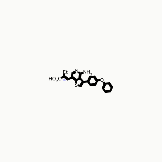 CC/C(=C\c1cnc(N)c2c(-c3ccc(Oc4ccccc4)cc3)csc12)C(=O)O